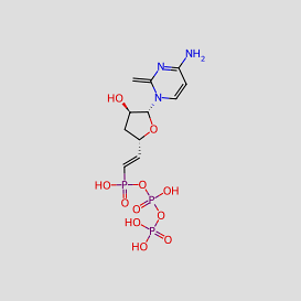 C=C1N=C(N)C=CN1[C@@H]1O[C@H](/C=C/P(=O)(O)OP(=O)(O)OP(=O)(O)O)C[C@H]1O